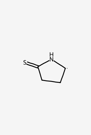 S=C1CC[CH]N1